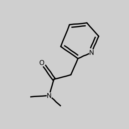 CN(C)C(=O)Cc1ccccn1